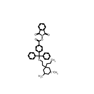 CCCC1(CCOC(c2ccccc2)(c2ccccc2)c2ccc(C(=O)ON3C(=O)c4ccccc4C3=O)cc2)CC(C)C[C@@H](C)C1